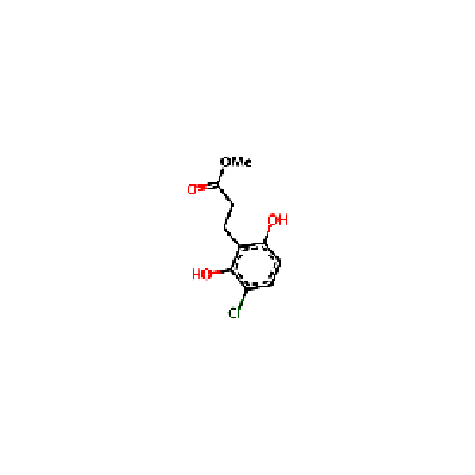 COC(=O)CCc1c(O)ccc(Cl)c1O